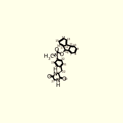 CN(C(=O)OC1c2ccccc2-c2ccccc21)c1ccc(C[C@@H]2NC(=O)CNC2=O)cc1